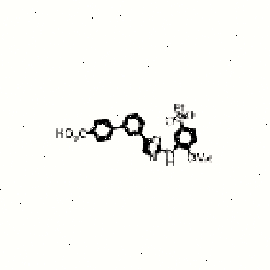 CCS(=O)(=O)c1ccc(OC)c(Nc2ncc(-c3cccc(-c4ccc(C(=O)O)cc4)c3)o2)c1